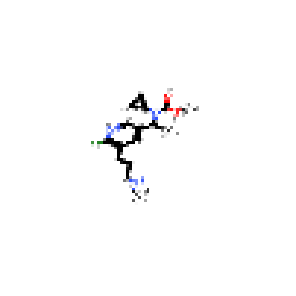 CC(c1cnc(Cl)c(CCCNC(=O)O)c1)N(C(=O)OC(C)(C)C)C1CC1